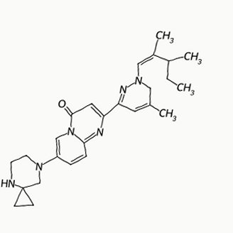 CCC(C)/C(C)=C\N1CC(C)=CC(c2cc(=O)n3cc(N4CCNC5(CC5)C4)ccc3n2)=N1